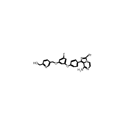 CC(C)c1nc(-c2ccc(Oc3cc(F)cc(OCc4ccc(CO)nc4)c3)cc2)c2c(N)nccn12